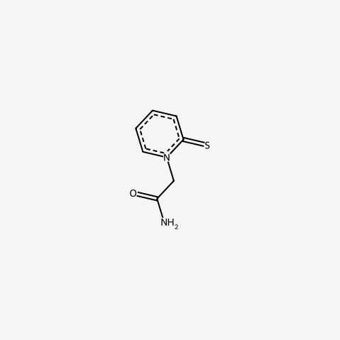 NC(=O)Cn1ccccc1=S